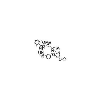 COc1c2nc(nc1-c1c(C)cccc1C)NS(=O)(=O)c1cccc(c1)C(=O)N(Cc1ncc(OC3CCC3)cn1)[C@H](CC(C)C)CO2